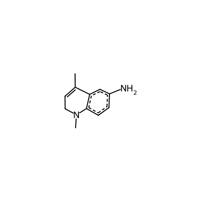 CC1=CCN(C)c2ccc(N)cc21